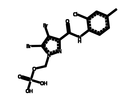 Cc1ccc(NC(=O)c2nn(COP(=O)(O)O)c(Br)c2Br)c(Cl)c1